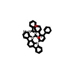 CC/N=C(\N=C(/NC)c1ccccc1)n1c2ccccc2c2ccc3c4ccccc4n(-c4ccc(C5=CCCC=C5)c(-c5ccccc5)c4)c3c21